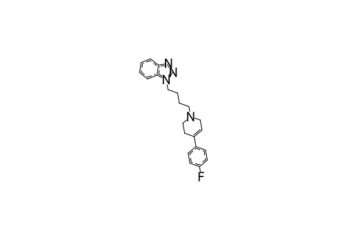 Fc1ccc(C2=CCN(CCCCn3nnc4ccccc43)CC2)cc1